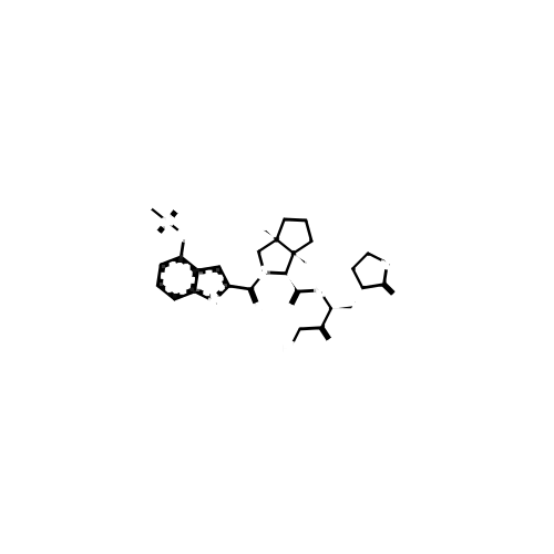 CS(=O)(=O)Oc1cccc2[nH]c(C(=O)N3C[C@@H]4CCC[C@@H]4[C@H]3C(=O)N[C@@H](C[C@@H]3CCNC3=O)C(=O)CO)cc12